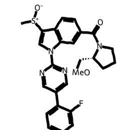 COC[C@H]1CCCN1C(=O)c1ccc2c([S+](C)[O-])cn(-c3ncc(-c4ccccc4F)cn3)c2c1